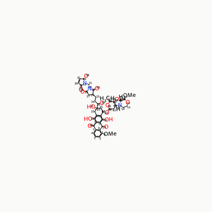 COc1cccc2c1C(=O)c1c(O)c3c(c(O)c1C2=O)C[C@@](O)(C(=O)CCC1CC(=O)N(CN2C(=O)C=CC2=O)C1=O)C[C@@H]3O[C@H]1C[C@H]2[C@H](O[C@@H]3[C@@H](OC)OCCN32)[C@H](C)O1